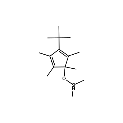 CC1=C(C)C(C)(O[SiH](C)C)C(C)=C1C(C)(C)C